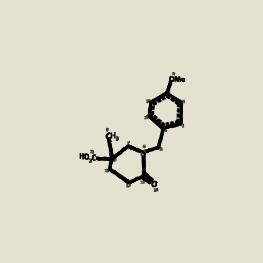 COc1ccc(CN2CC(C)(C(=O)O)CCC2=O)cc1